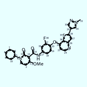 COc1ccn(-c2ccccc2)c(=O)c1C(=O)Nc1ccc(Oc2ccnc3cc(-c4cnn(C)c4)sc23)c(F)c1